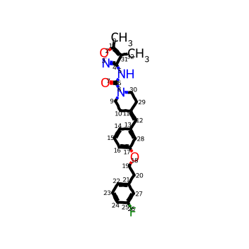 Cc1onc(NC(=O)N2CCC(=Cc3cccc(OCCc4cccc(F)c4)c3)CC2)c1C